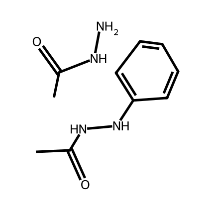 CC(=O)NN.CC(=O)NNc1ccccc1